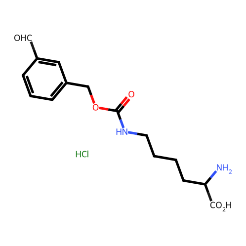 Cl.NC(CCCCNC(=O)OCc1cccc(C=O)c1)C(=O)O